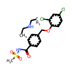 CCNCC.CS(=O)(=O)NC(=O)c1ccc(COc2ccc(Cl)cc2Cl)cc1